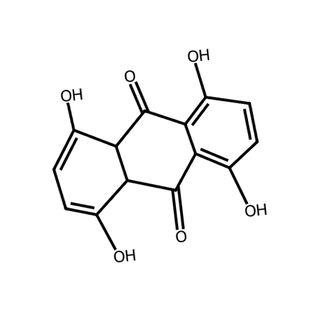 O=C1c2c(O)ccc(O)c2C(=O)C2C(O)=CC=C(O)C12